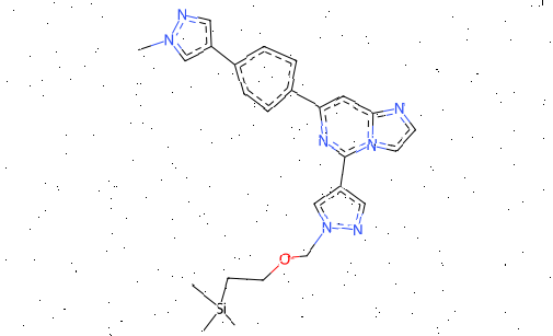 Cn1cc(-c2ccc(-c3cc4nccn4c(-c4cnn(COCC[Si](C)(C)C)c4)n3)cc2)cn1